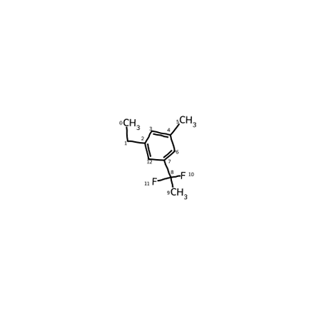 CCc1cc(C)cc(C(C)(F)F)c1